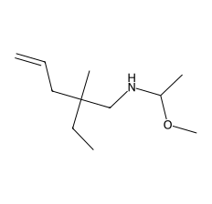 C=CCC(C)(CC)CNC(C)OC